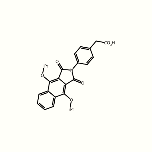 CC(C)Oc1c2c(c(OC(C)C)c3ccccc13)C(=O)N(c1ccc(CC(=O)O)cc1)C2=O